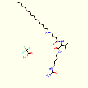 CCCCCCCCCCCCCCNCCCC(=O)NC(C(=O)NCCCCNC(N)=O)C(C)C.O=C(O)C(F)(F)F